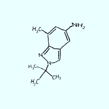 Cc1cc(N)cc2cn(C(C)(C)C)nc12